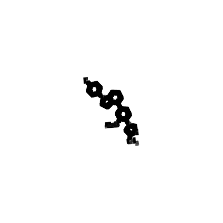 COc1cc(-c2cccc3c2ccn3-c2ccc(F)cc2)ccc1-n1cnc(C)c1